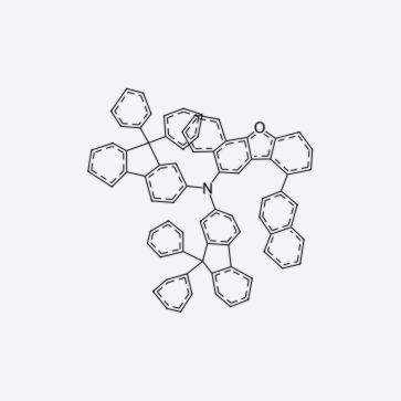 c1ccc(C2(c3ccccc3)c3ccccc3-c3ccc(N(c4ccc5c(c4)C(c4ccccc4)(c4ccccc4)c4ccccc4-5)c4cc5c(oc6cccc(-c7ccc8ccccc8c7)c65)c5ccccc45)cc32)cc1